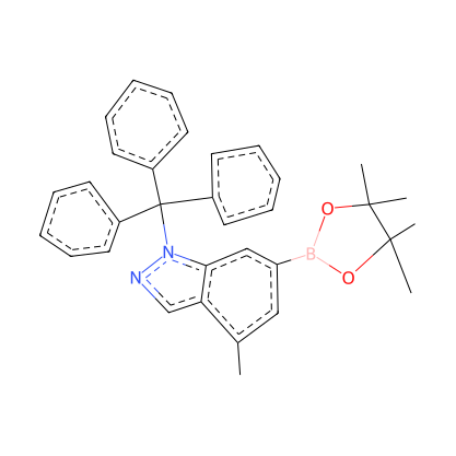 Cc1cc(B2OC(C)(C)C(C)(C)O2)cc2c1cnn2C(c1ccccc1)(c1ccccc1)c1ccccc1